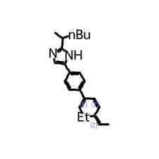 C\C=C(/C=C\C(=C/C)c1ccc(-c2cnc(C(C)CCCC)[nH]2)cc1)CC